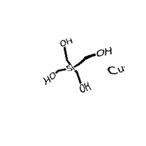 O[Si](O)(O)O.[Cu]